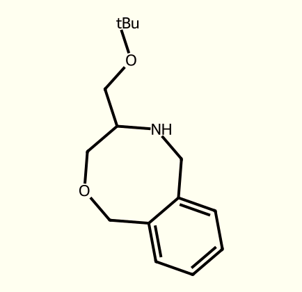 CC(C)(C)OCC1COCc2ccccc2CN1